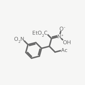 CCOC(=O)/C(C(CC(C)=O)c1cccc([N+](=O)[O-])c1)=[N+](\[O-])O